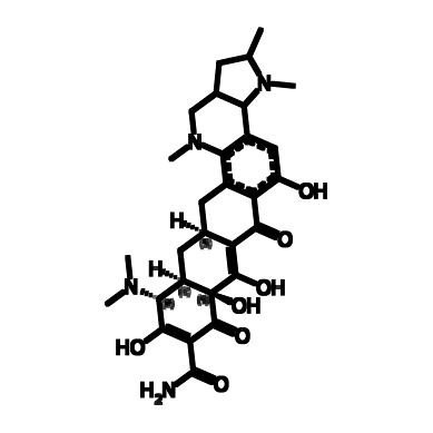 CC1CC2CN(C)c3c(cc(O)c4c3C[C@@H]3C[C@@H]5[C@@H](N(C)C)C(O)=C(C(N)=O)C(=O)[C@@]5(O)C(O)=C3C4=O)C2N1C